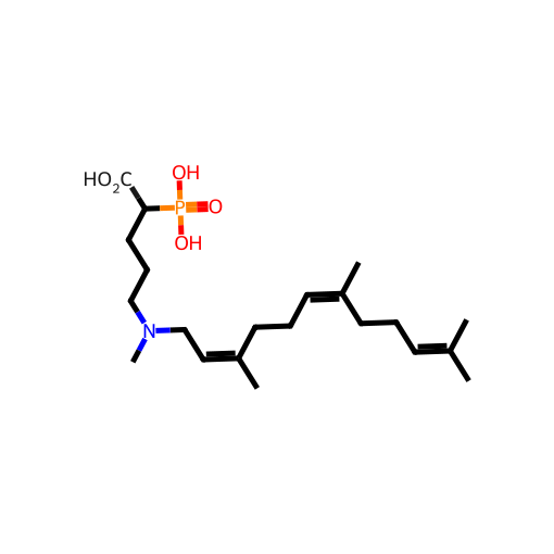 CC(C)=CCCC(C)=CCCC(C)=CCN(C)CCCC(C(=O)O)P(=O)(O)O